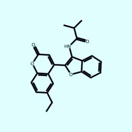 CCc1ccc2oc(=O)cc(-c3oc4ccccc4c3NC(=O)C(C)C)c2c1